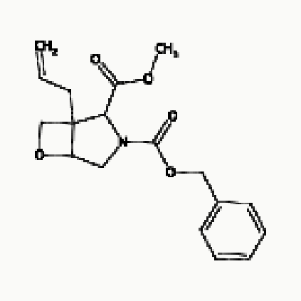 C=CCC12COC1CN(C(=O)OCc1ccccc1)C2C(=O)OC